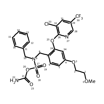 COCCOc1ccc(CN(Cc2ccccc2)S(=O)(=O)OC(N)=O)c(Oc2ncc(C(F)(F)F)cc2Cl)c1